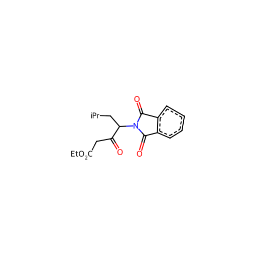 CCOC(=O)CC(=O)C(CC(C)C)N1C(=O)c2ccccc2C1=O